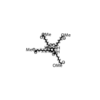 COC(=O)CCCCCCC(=O)Nc1cc(NC(=O)CCCCCCC(=O)OC)c(NC(=O)CCCCCCC(=O)OC)cc1NC(=O)CCCCCCC(=O)OC